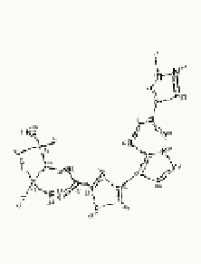 Cn1cc(-c2cnc3c(-c4csc(C(=O)NC(C(C)(C)O)C(F)(F)F)c4)cnn3c2)cn1